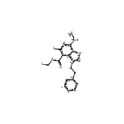 CCOC(=O)c1c(C)nc(NN)c2nnn(CCc3ccccc3)c12